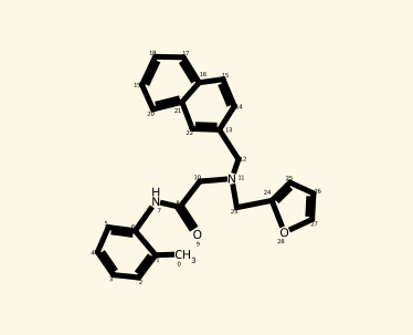 Cc1ccccc1NC(=O)CN(Cc1ccc2ccccc2c1)Cc1ccco1